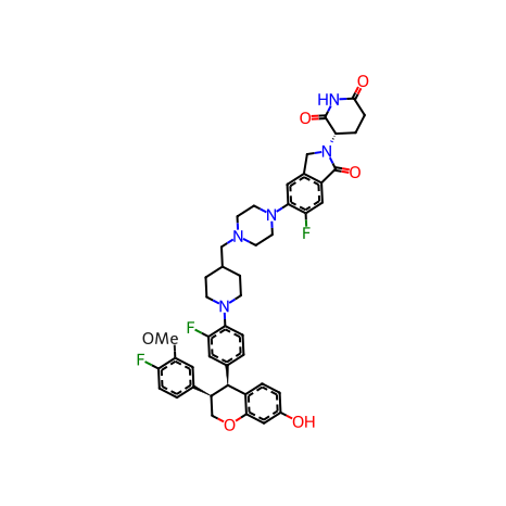 COc1cc([C@@H]2COc3cc(O)ccc3[C@@H]2c2ccc(N3CCC(CN4CCN(c5cc6c(cc5F)C(=O)N([C@H]5CCC(=O)NC5=O)C6)CC4)CC3)c(F)c2)ccc1F